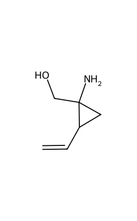 C=CC1CC1(N)CO